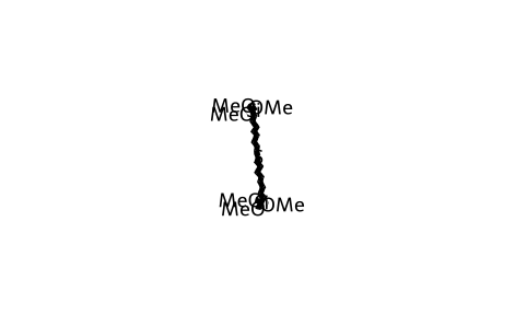 CO[Si](CCCCCCCCSCCCCCCCC[Si](OC)(OC)OC)(OC)OC